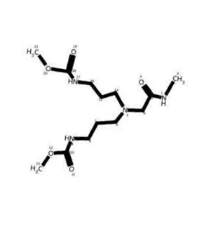 CNC(=O)CN(CCCNC(=O)OC)CCCNC(=O)OC